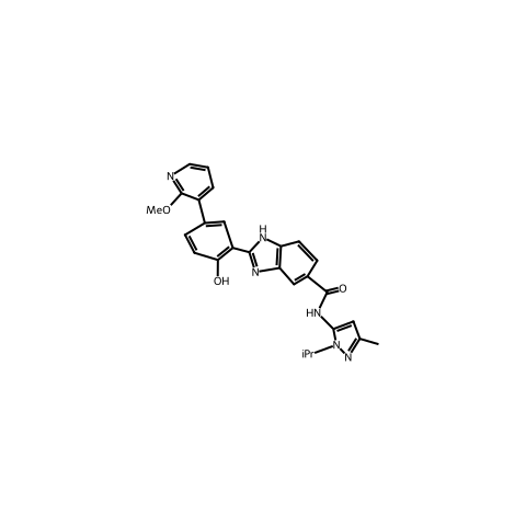 COc1ncccc1-c1ccc(O)c(-c2nc3cc(C(=O)Nc4cc(C)nn4C(C)C)ccc3[nH]2)c1